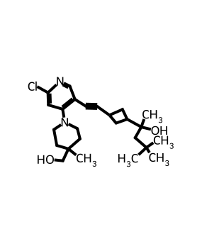 CC(C)(C)CC(C)(O)C1CC(C#Cc2cnc(Cl)cc2N2CCC(C)(CO)CC2)C1